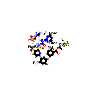 CCOC(=O)C(C)OC(=O)c1cc(Oc2ccc(C(F)(F)F)cc2Cl)ccc1[N+](=O)[O-].CCS(=O)(=O)c1cccnc1S(=O)(=O)NC(=O)Nc1nc(OC)cc(OC)n1.C[S+](C)C.O=C(O)CNCP(=O)([O-])O